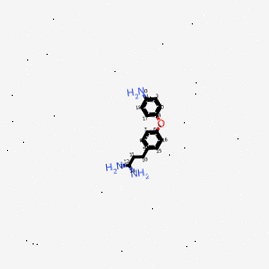 Nc1ccc(Oc2ccc(CCC(N)N)cc2)cc1